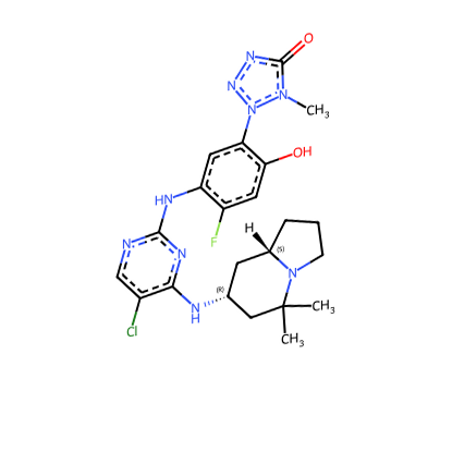 Cn1c(=O)nnn1-c1cc(Nc2ncc(Cl)c(N[C@@H]3C[C@@H]4CCCN4C(C)(C)C3)n2)c(F)cc1O